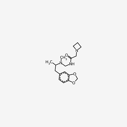 CC(Cc1ccc2c(c1)OCO2)N(C)CNC(=O)CN1CCC1